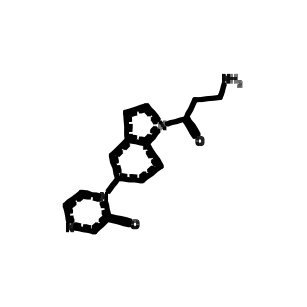 NCCC(=O)n1ccc2cc(-n3ccncc3=O)ccc21